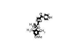 COc1cc(C)c(S(=O)(=O)N(C)Cc2nnc(C(=O)N3CCNCC3)o2)c(C)c1